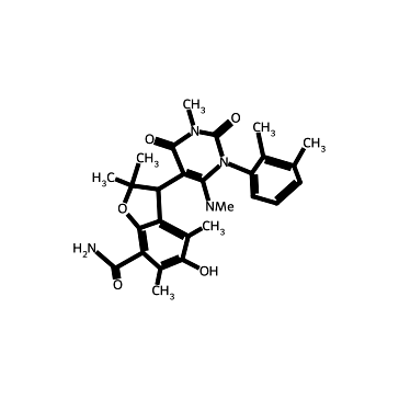 CNc1c(C2c3c(C)c(O)c(C)c(C(N)=O)c3OC2(C)C)c(=O)n(C)c(=O)n1-c1cccc(C)c1C